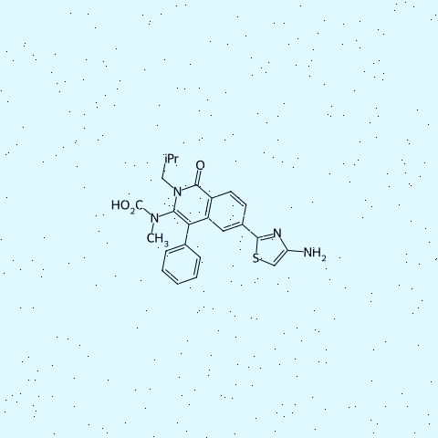 CC(C)Cn1c(N(C)C(=O)O)c(-c2ccccc2)c2cc(-c3nc(N)cs3)ccc2c1=O